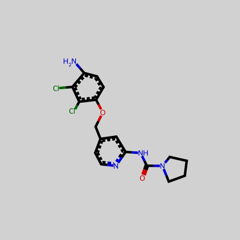 Nc1ccc(OCc2ccnc(NC(=O)N3CCCC3)c2)c(Cl)c1Cl